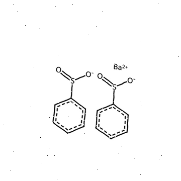 O=S([O-])c1ccccc1.O=S([O-])c1ccccc1.[Ba+2]